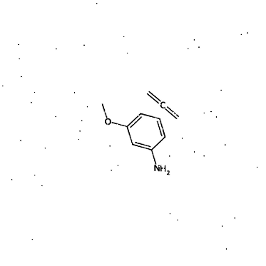 C=C=C.COc1cccc(N)c1